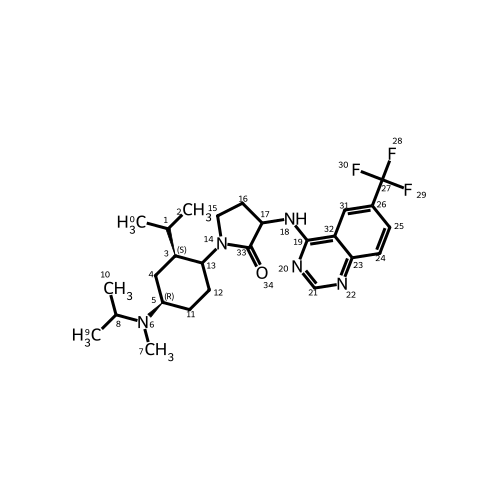 CC(C)[C@@H]1C[C@H](N(C)C(C)C)CCC1N1CCC(Nc2ncnc3ccc(C(F)(F)F)cc23)C1=O